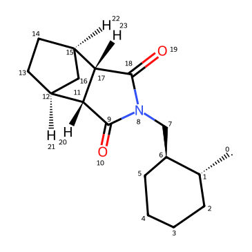 [CH2][C@@H]1CCCC[C@H]1CN1C(=O)[C@@H]2[C@H]3CC[C@H](C3)[C@@H]2C1=O